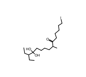 CCC(CC)C(O)(O)CCCCC(C)C(=O)CCCCCI